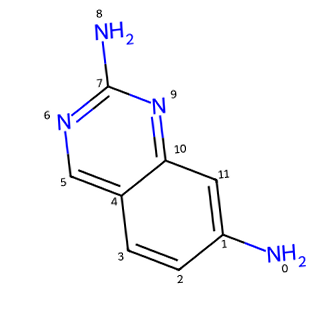 Nc1ccc2cnc(N)nc2c1